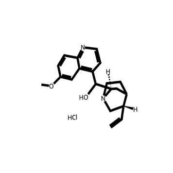 C=C[C@@H]1CN2CCC1C[C@@H]2C(O)c1ccnc2ccc(OC)cc12.Cl